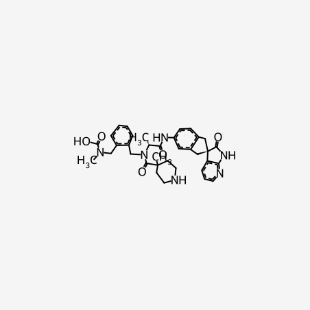 C[C@H](C(=O)Nc1ccc2c(c1)C[C@@]1(C2)C(=O)Nc2ncccc21)N(Cc1ccccc1CN(C)C(=O)O)C(=O)C1(C)CCNCC1